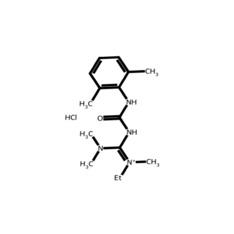 CC[N+](C)=C(NC(=O)Nc1c(C)cccc1C)N(C)C.Cl